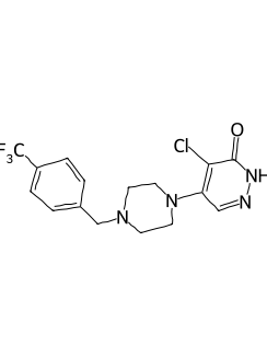 O=c1[nH]ncc(N2CCN(Cc3ccc(C(F)(F)F)cc3)CC2)c1Cl